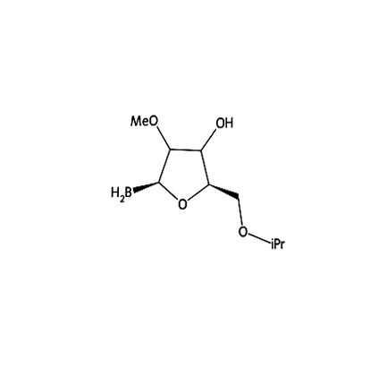 B[C@@H]1O[C@H](COC(C)C)C(O)C1OC